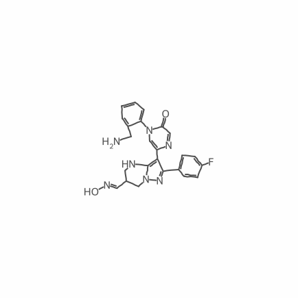 NCc1ccccc1-n1cc(-c2c(-c3ccc(F)cc3)nn3c2NCC(C=NO)C3)ncc1=O